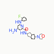 Nc1cc(Nc2ccccc2F)nc(C(=O)NC2Cc3ccc(N4CCOCC4)cc3C2)c1